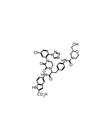 O=C(O)c1cc2cc(NC(=O)C(Cc3ccc(NC(=O)N4CCO[C@H](CO)C4)cc3)N3CCN(c4cc(Cl)ccc4-n4cnnn4)C(=O)C3=O)ccc2[nH]1